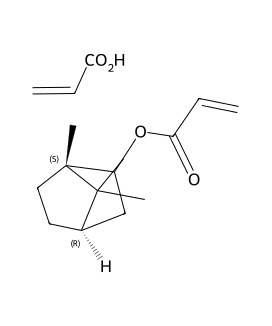 C=CC(=O)O.C=CC(=O)OC1C[C@H]2CC[C@@]1(C)C2(C)C